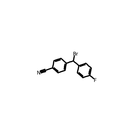 N#Cc1ccc(C(Br)c2ccc(F)cc2)cc1